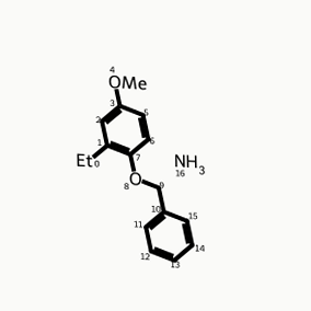 CCc1cc(OC)ccc1OCc1ccccc1.N